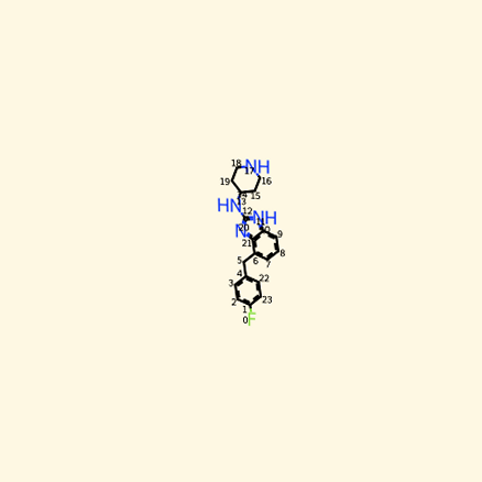 Fc1ccc(Cc2cccc3[nH]c(NC4CCNCC4)nc23)cc1